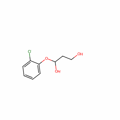 OCCC(O)Oc1ccccc1Cl